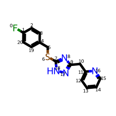 Fc1ccc(CSc2nc(Cc3ccccn3)n[nH]2)cc1